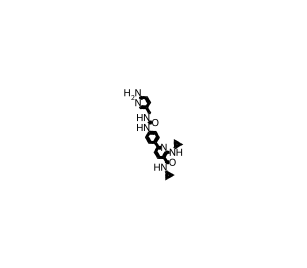 Nc1ccc(CNC(=O)Nc2ccc(-c3ccc(C(=O)NC4CC4)c(NC4CC4)n3)cc2)cn1